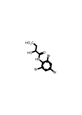 O=C(O)CC(O)C(=O)Nc1c(Br)cc(Br)cc1Br